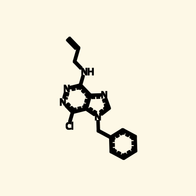 C=CCNc1nnc(Cl)c2c1ncn2Cc1ccccc1